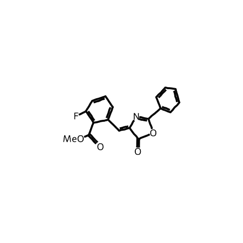 COC(=O)c1c(F)cccc1C=C1N=C(c2ccccc2)OC1=O